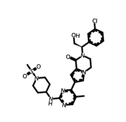 Cc1cnc(NC2CCN(S(C)(=O)=O)CC2)nc1-c1cc2n(c1)CCN([C@@H](CO)c1cccc(Cl)c1)C2=O